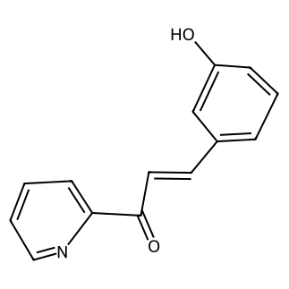 O=C(C=Cc1cccc(O)c1)c1ccccn1